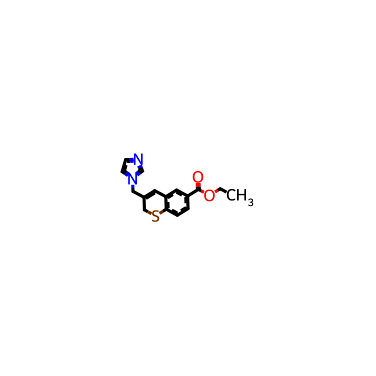 CCOC(=O)c1ccc2c(c1)C=C(Cn1ccnc1)CS2